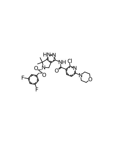 CC1(C)c2[nH]nc(NC(=O)c3ccc(N4CCOCC4)nc3Cl)c2CN1S(=O)(=O)c1cc(F)cc(F)c1